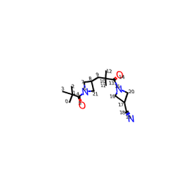 CC(C)(C)C(=O)N1CC(CC(C)(C)C(=O)N2CC(C#N)C2)C1